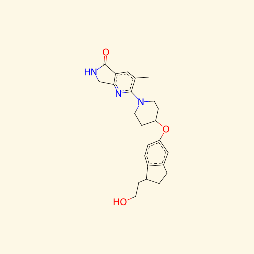 Cc1cc2c(nc1N1CCC(Oc3ccc4c(c3)CCC4CCO)CC1)CNC2=O